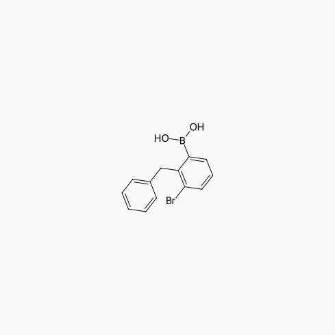 OB(O)c1cccc(Br)c1Cc1ccccc1